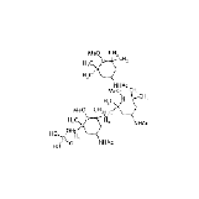 CON1C(C)(C)CC(NC(C)=O)CC1(C)C.CON1C(C)(C)CC(NC(C)=O)CC1(C)C.CON1C(C)(C)CC(NC(C)=O)CC1(C)C.O=P(O)(O)O